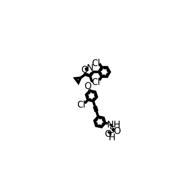 O=[SH](=O)Nc1cccc(C#Cc2ccc(OCc3c(-c4c(Cl)cccc4Cl)noc3C3CC3)cc2Cl)c1